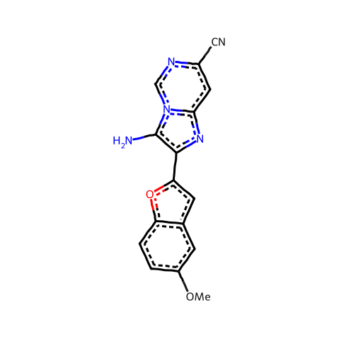 COc1ccc2oc(-c3nc4cc(C#N)ncn4c3N)cc2c1